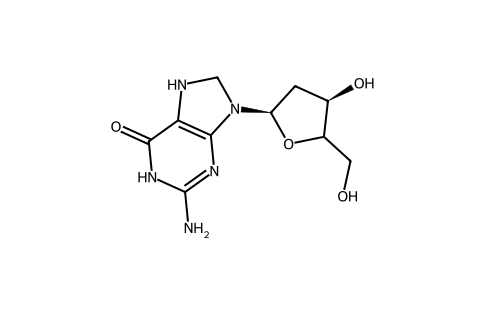 Nc1nc2c(c(=O)[nH]1)NCN2[C@H]1C[C@@H](O)C(CO)O1